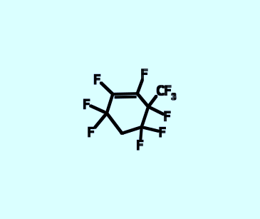 FC1=C(F)C(F)(C(F)(F)F)C(F)(F)CC1(F)F